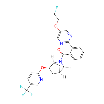 C[C@@H]1[C@H]2C[C@@H](Oc3ccc(C(F)(F)F)cn3)[C@H](C2)N1C(=O)c1ccccc1-c1ncc(OCCF)cn1